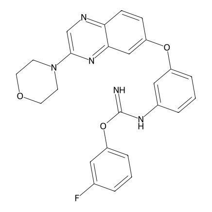 N=C(Nc1cccc(Oc2ccc3ncc(N4CCOCC4)nc3c2)c1)Oc1cccc(F)c1